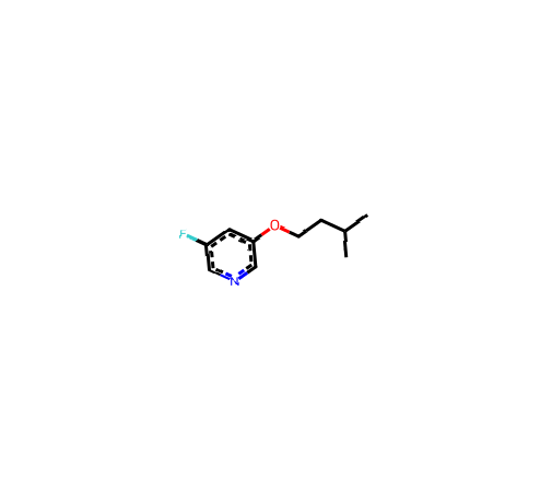 CC(C)CCOc1cncc(F)c1